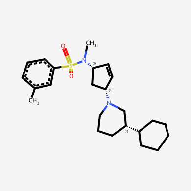 Cc1cccc(S(=O)(=O)N(C)[C@@H]2C=C[C@H](N3CCC[C@@H](C4CCCCC4)C3)C2)c1